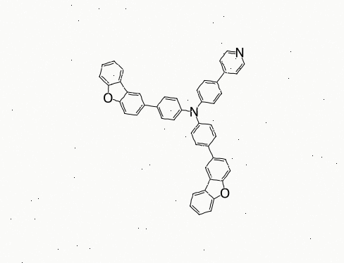 c1ccc2c(c1)oc1ccc(-c3ccc(N(c4ccc(-c5ccncc5)cc4)c4ccc(-c5ccc6oc7ccccc7c6c5)cc4)cc3)cc12